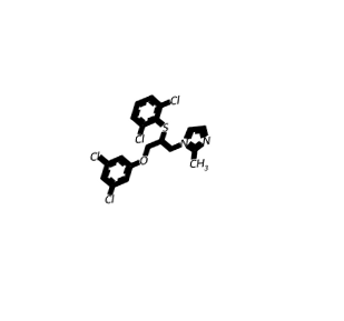 Cc1nccn1CC(COc1cc(Cl)cc(Cl)c1)Sc1c(Cl)cccc1Cl